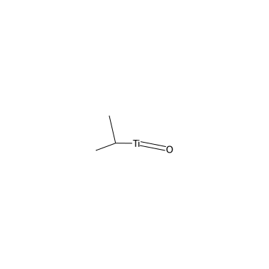 C[CH](C)[Ti]=[O]